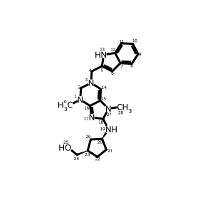 CN1CN(Cc2cc3ccccc3[nH]2)C=C2C1=NC(N[C@H]1CC[C@@H](CO)C1)N2C